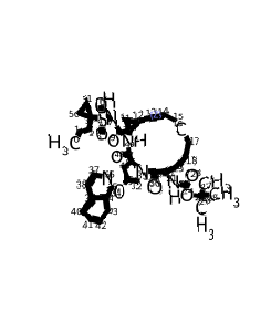 CCCC1(S(=O)(=O)NC(=O)C23CC2/C=C\CCCCCC(NC(=O)OC(C)(C)C)C(=O)N2CC(Oc4nccc5ccccc45)CC2C(=O)N3)CC1